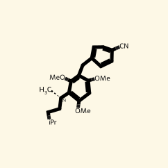 COc1cc(OC)c([C@@H](C)CCC(C)C)c(OC)c1Cc1ccc(C#N)cc1